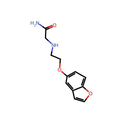 NC(=O)CNCCOc1ccc2occc2c1